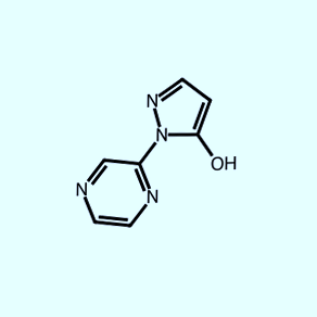 Oc1ccnn1-c1cnccn1